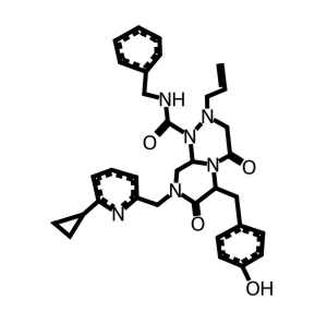 C=CCN1CC(=O)N2C(Cc3ccc(O)cc3)C(=O)N(Cc3cccc(C4CC4)n3)CC2N1C(=O)NCc1ccccc1